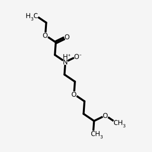 CCOC(=O)C[NH+]([O-])CCOCCC(C)OC